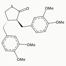 COc1ccc(C[C@@H]2CSC(=O)[C@H]2Cc2ccc(OC)c(OC)c2)cc1OC